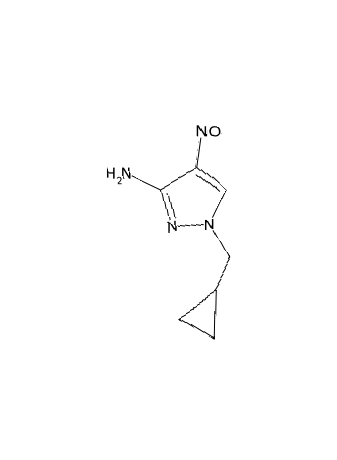 Nc1nn(CC2CC2)cc1N=O